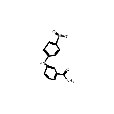 NC(=O)c1cccc(Nc2ccc([N+](=O)[O-])cc2)c1